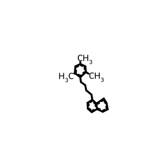 Cc1cc(C)c(CCCCc2cccc3ccccc23)c(C)c1